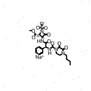 CCCCN1CCN(C(=O)NC(C(=O)N[C@H]2C(=O)N(S(=O)(=O)[O-])[C@H]2C(=O)OC)c2ccccc2)C(=O)C1=O.[Na+]